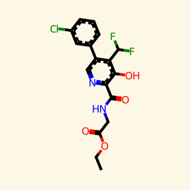 CCOC(=O)CNC(=O)c1ncc(-c2cccc(Cl)c2)c(C(F)F)c1O